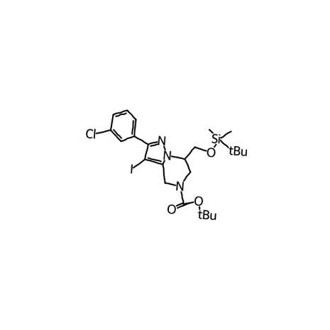 CC(C)(C)OC(=O)N1Cc2c(I)c(-c3cccc(Cl)c3)nn2C(CO[Si](C)(C)C(C)(C)C)C1